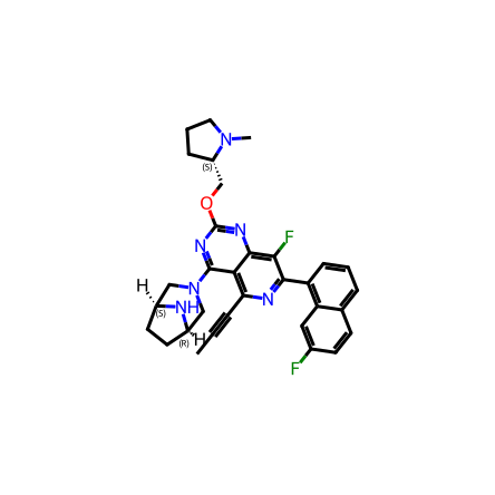 CC#Cc1nc(-c2cccc3ccc(F)cc23)c(F)c2nc(OC[C@@H]3CCCN3C)nc(N3C[C@H]4CC[C@@H](C3)N4)c12